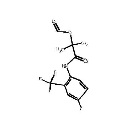 CC(C)(O[C]=O)C(=O)Nc1ccc(F)cc1C(F)(F)F